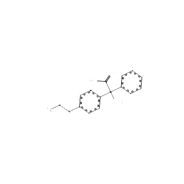 CC(C(=O)C(=O)O)(c1ccccc1)c1ccc(CCN)cc1.Cl